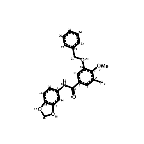 COc1c(F)cc(C(=O)Nc2ccc3c(c2)OCO3)cc1OCc1ccccc1